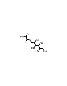 O=C(O)C(=O)OCC(O)C(O)C(O)C(O)CO